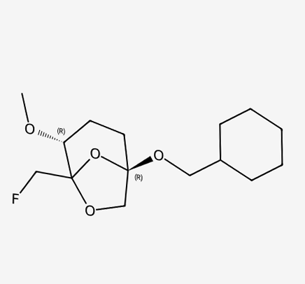 CO[C@@H]1CC[C@]2(OCC3CCCCC3)COC1(CF)O2